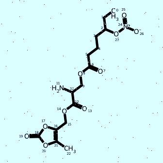 CCC(CCCC(=O)OCC(N)C(=O)OCc1oc(=O)oc1C)O[N+](=O)[O-]